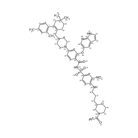 Cc1cc(C(F)(F)F)ccc1C1=C(CN2CCN(c3ccc(C(=O)NS(=O)(=O)c4ccc(NCCCC5CN(C(=O)C(C)C)CCO5)c([N+](=O)[O-])c4)c(Oc4cnc5[nH]ccc5c4)c3)CC2)CCC(C)(C)C1